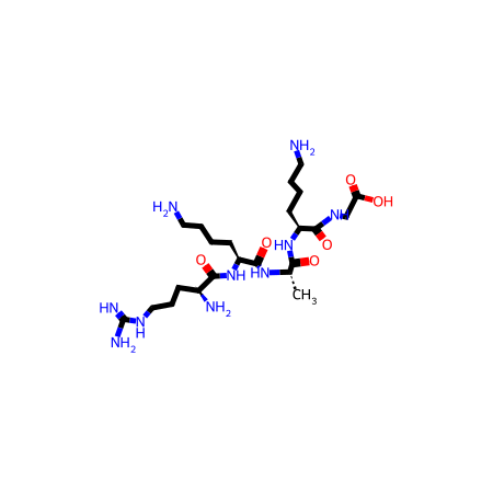 C[C@H](NC(=O)[C@H](CCCCN)NC(=O)[C@@H](N)CCCNC(=N)N)C(=O)N[C@@H](CCCCN)C(=O)NCC(=O)O